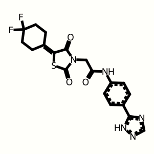 O=C(CN1C(=O)SC(=C2CCC(F)(F)CC2)C1=O)Nc1ccc(-c2ncn[nH]2)cc1